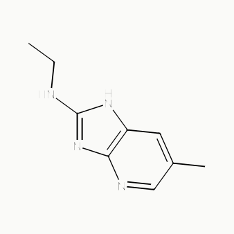 CCNc1nc2ncc(C)cc2[nH]1